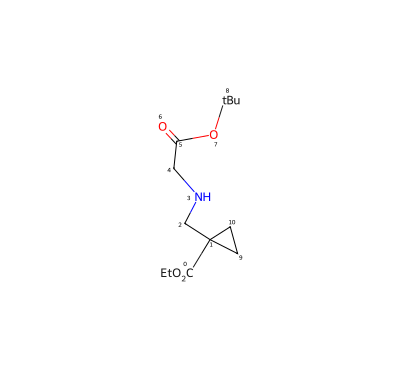 CCOC(=O)C1(CNCC(=O)OC(C)(C)C)CC1